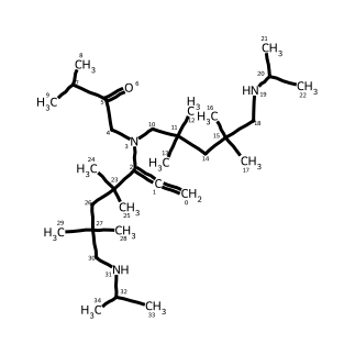 C=C=C(N(CC(=O)C(C)C)CC(C)(C)CC(C)(C)CNC(C)C)C(C)(C)CC(C)(C)CNC(C)C